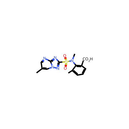 Cc1cnc2nc(S(=O)(=O)N(C)c3c(C)cccc3C(=O)O)nn2c1